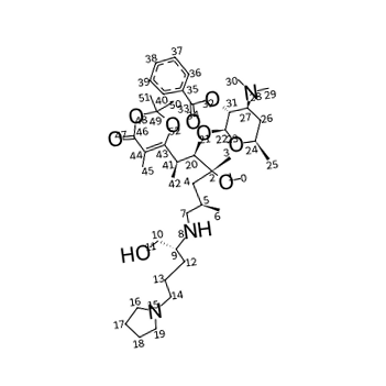 CO[C@](C)(C[C@@H](C)CN[C@@H](CO)CCCN1CCCC1)[C@H](O[C@@H]1O[C@H](C)C[C@H](N(C)C)[C@H]1OC(=O)c1ccccc1)[C@@H](C)C1=C(C)C(=O)OC(C)(C)O1